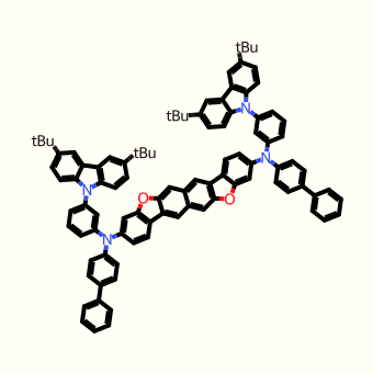 CC(C)(C)c1ccc2c(c1)c1cc(C(C)(C)C)ccc1n2-c1cccc(N(c2ccc(-c3ccccc3)cc2)c2ccc3c(c2)oc2cc4cc5c(cc4cc23)oc2cc(N(c3ccc(-c4ccccc4)cc3)c3cccc(-n4c6ccc(C(C)(C)C)cc6c6cc(C(C)(C)C)ccc64)c3)ccc25)c1